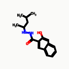 CC(C)CC(C)NNC(=O)c1cc2ccccc2cc1O